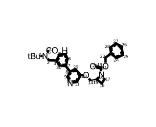 CC(C)(C)N(Cc1cccc(-c2cncc(OC[C@@H]3CCN3C(=O)OCc3ccccc3)c2)c1)C(=O)O